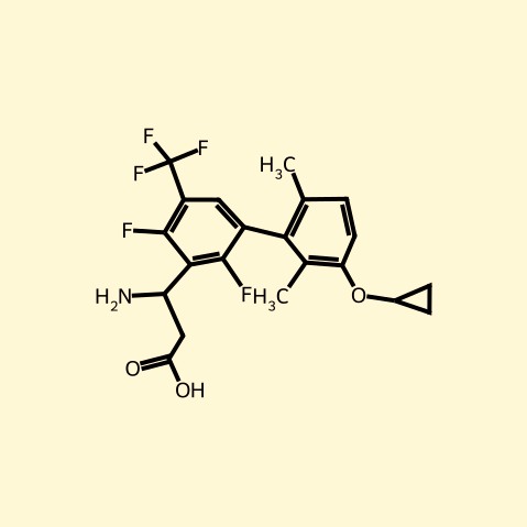 Cc1ccc(OC2CC2)c(C)c1-c1cc(C(F)(F)F)c(F)c(C(N)CC(=O)O)c1F